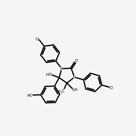 CCCC1(C)N(c2ccc(Cl)cc2)C(=O)N(c2ccc(Cl)cc2)C1(O)c1cccc(C#N)c1